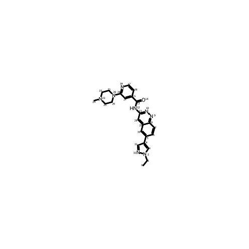 CCn1cc(-c2ccc3nnc(NC(=O)c4ccnc(N5CCN(C)CC5)c4)cc3c2)cn1